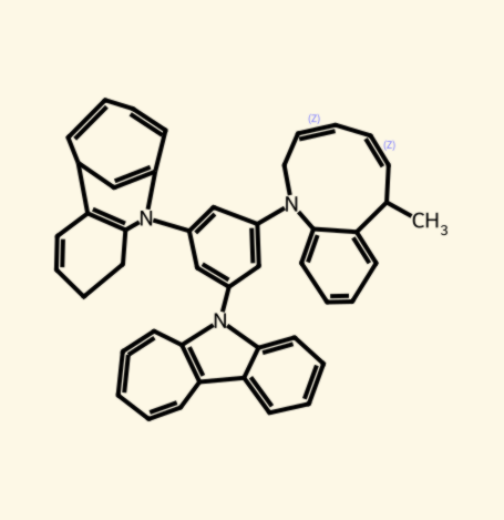 CC1/C=C\C=C/CN(c2cc(N3C4=CC(C=CC=C4)C4=C3CCC=C4)cc(-n3c4c(c5ccccc53)C=CC=C=C4)c2)c2ccccc21